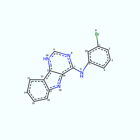 Brc1cccc(Nc2nc[nH]c3c4ccccc4nc2-3)c1